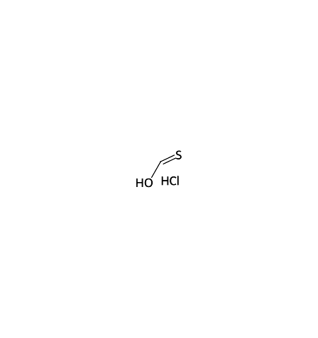 Cl.OC=S